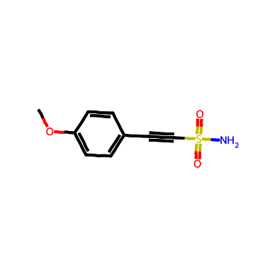 COc1ccc(C#CS(N)(=O)=O)cc1